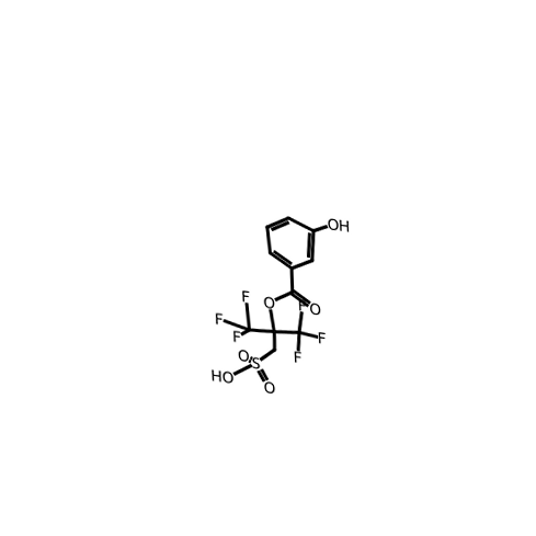 O=C(OC(CS(=O)(=O)O)(C(F)(F)F)C(F)(F)F)c1cccc(O)c1